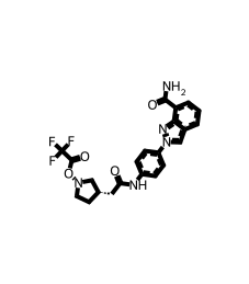 NC(=O)c1cccc2cn(-c3ccc(NC(=O)C[C@@H]4CCN(OC(=O)C(F)(F)F)C4)cc3)nc12